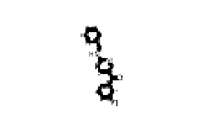 O=C(c1cnc(NCc2ccccc2)nc1)c1cccc(Cl)c1